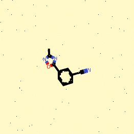 Cc1noc(-c2cccc(C#N)c2)n1